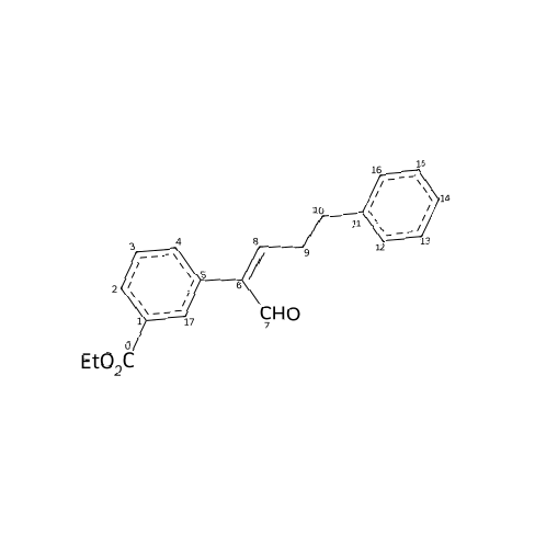 CCOC(=O)c1cccc(/C(C=O)=C/CCc2ccccc2)c1